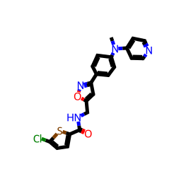 CN(c1ccncc1)c1ccc(-c2cc(CNC(=O)c3ccc(Cl)s3)on2)cc1